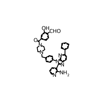 Nc1ncccc1-c1nc2ccc(-c3ccccc3)nc2n1-c1ccc(CN2CCN(C(=O)c3ccc(C=O)c(O)c3)CC2)cc1